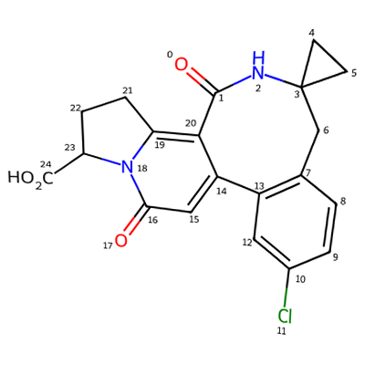 O=C1NC2(CC2)Cc2ccc(Cl)cc2-c2cc(=O)n3c(c21)CCC3C(=O)O